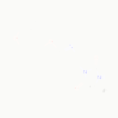 Cc1ccc(Oc2ccc(N3C(=O)N[C@](C)(C(C)C)C3=O)cn2)c2c1OCC21CC1